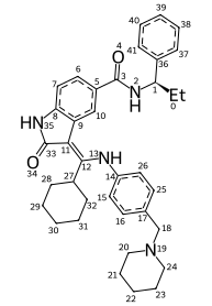 CC[C@@H](NC(=O)c1ccc2c(c1)C(=C(Nc1ccc(CN3CCCCC3)cc1)C1CCCCC1)C(=O)N2)c1ccccc1